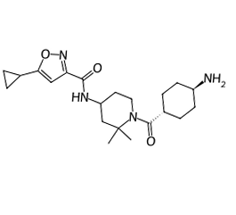 CC1(C)CC(NC(=O)c2cc(C3CC3)on2)CCN1C(=O)[C@H]1CC[C@H](N)CC1